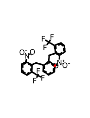 O=[N+]([O-])c1cccc(C(F)(F)F)c1Cc1ccccc1Cc1c([N+](=O)[O-])cccc1C(F)(F)F